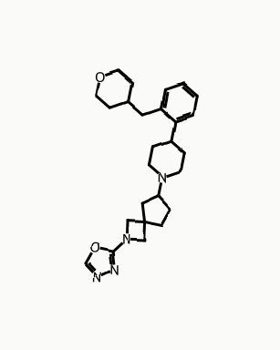 c1ccc(C2CCN(C3CCC4(C3)CN(c3nnco3)C4)CC2)c(CC2CCOCC2)c1